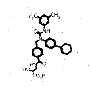 Cc1cc(NC(=O)N(Cc2ccc(C(=O)NC[C@@H](O)C(=O)O)cc2)c2ccc(C3=CCCCC3)cc2)cc(C(F)(F)F)c1